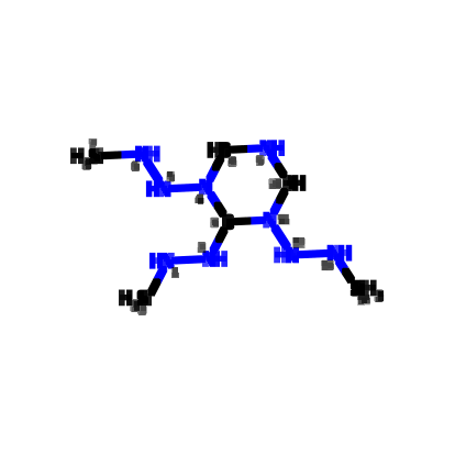 [SiH3]NNB1N(NN[SiH3])BNBN1NN[SiH3]